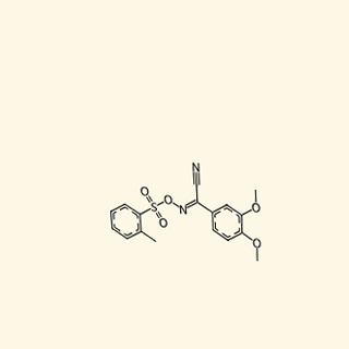 COc1ccc(C(C#N)=NOS(=O)(=O)c2ccccc2C)cc1OC